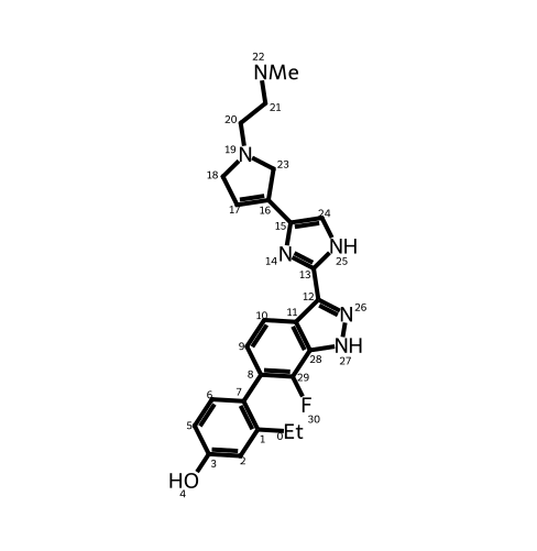 CCc1cc(O)ccc1-c1ccc2c(-c3nc(C4=CCN(CCNC)C4)c[nH]3)n[nH]c2c1F